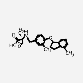 Cc1cc(CN[C@@](C)(CO)C(=O)O)ccc1OC1CCc2c(C)cccc21